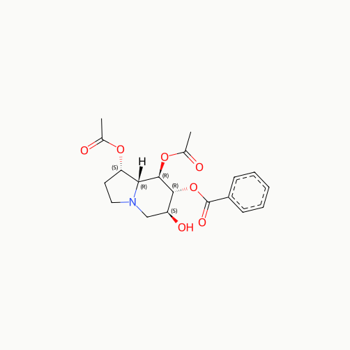 CC(=O)O[C@H]1[C@H](OC(=O)c2ccccc2)[C@@H](O)CN2CC[C@H](OC(C)=O)[C@H]12